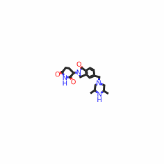 CC1CN(Cc2ccc3c(c2)CN(C2CCC(=O)NC2=O)C3=O)CC(C)N1